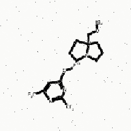 CC(C)(C)OC[C@@]12CCCN1[C@H](COc1cc(C(F)(F)F)nc(C(F)(F)F)n1)CC2